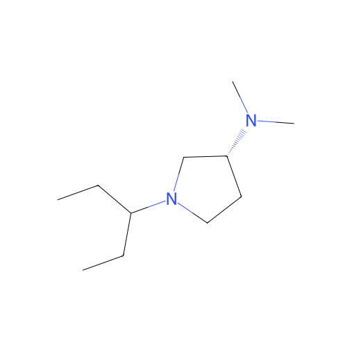 CCC(CC)N1CC[C@@H](N(C)C)C1